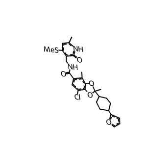 CSc1cc(C)[nH]c(=O)c1CNC(=O)c1cc(Cl)c2c(c1C)OC(C)(C1CCC(c3ccco3)CC1)O2